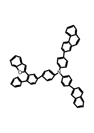 c1ccc(-c2ccc(-c3ccc(N(c4ccc(-c5ccc6ccccc6c5)cc4)c4ccc(-c5ccc6c(ccc7ccccc76)c5)cc4)cc3)cc2-c2cc3ccccc3o2)cc1